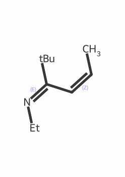 C/C=C\C(=N/CC)C(C)(C)C